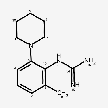 Cc1cccc(N2CCCCC2)c1NC(=N)N